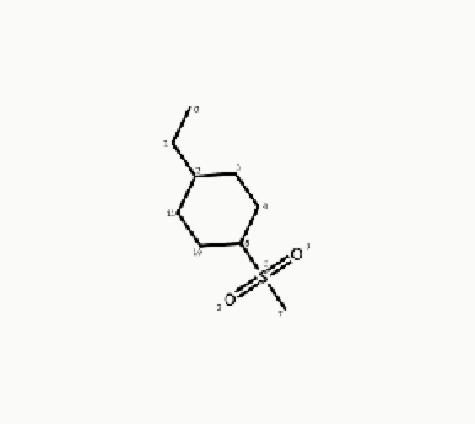 CCC1CCC(S(C)(=O)=O)CC1